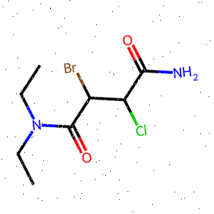 CCN(CC)C(=O)C(Br)C(Cl)C(N)=O